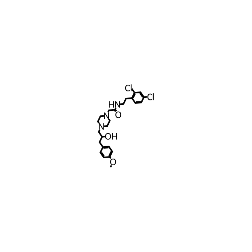 COc1ccc(CC(O)CN2CCN(CC(=O)NCCc3ccc(Cl)cc3Cl)CC2)cc1